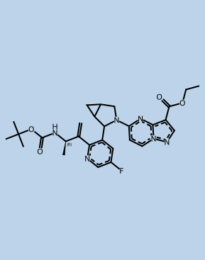 C=C(c1ncc(F)cc1C1C2CC2CN1c1ccn2ncc(C(=O)OCC)c2n1)[C@@H](C)NC(=O)OC(C)(C)C